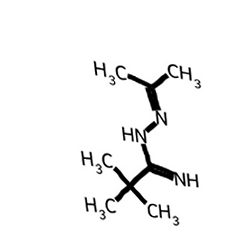 CC(C)=NNC(=N)C(C)(C)C